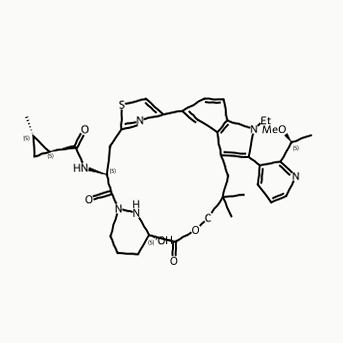 CCn1c(-c2cccnc2[C@H](C)OC)c2c3cc(ccc31)-c1csc(n1)C[C@H](NC(=O)[C@H]1C[C@@H]1C)C(=O)N1CCC[C@@](O)(N1)C(=O)OCC(C)(C)C2